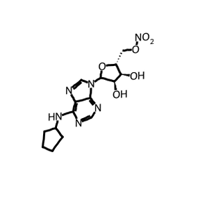 O=[N+]([O-])OC[C@H]1OC(n2cnc3c(NC4CCCC4)ncnc32)[C@H](O)[C@@H]1O